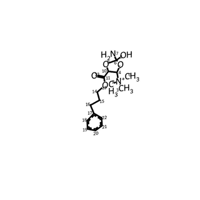 C[N+](C)(C)C1OC(N)(O)OC1C(=O)OCCCc1ccccc1